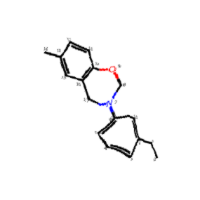 CCc1cccc(N2COc3ccc(C)cc3C2)c1